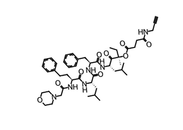 C#CCNC(=O)CCC(=O)O[C@](C)(CC)C(=O)[C@H](CC(C)C)NC(=O)[C@H](Cc1ccccc1)NC(=O)[C@H](CC(C)C)NC(=O)[C@H](CCc1ccccc1)NC(=O)CN1CCOCC1